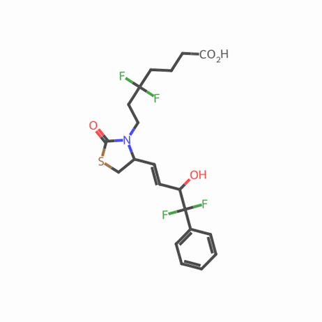 O=C(O)CCCC(F)(F)CCN1C(=O)SCC1C=CC(O)C(F)(F)c1ccccc1